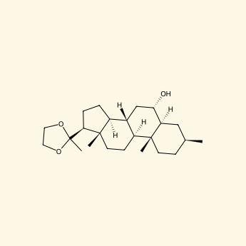 C[C@H]1CC[C@@]2(C)[C@H](C1)[C@@H](O)C[C@@H]1[C@@H]2CC[C@]2(C)[C@@H](C3(C)OCCO3)CC[C@@H]12